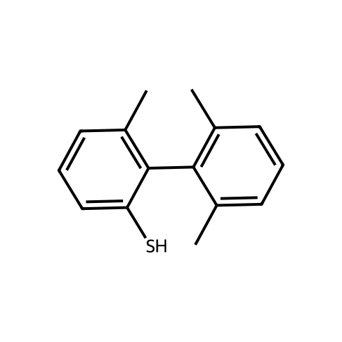 Cc1cccc(C)c1-c1c(C)cccc1S